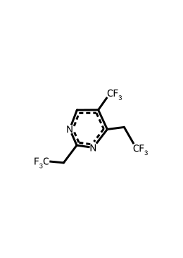 FC(F)(F)Cc1ncc(C(F)(F)F)c(CC(F)(F)F)n1